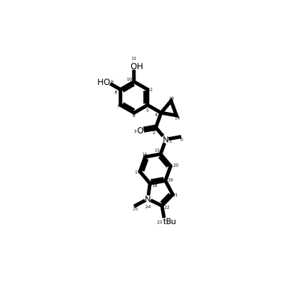 CN(C(=O)C1(c2ccc(O)c(O)c2)CC1)c1ccc2c(c1)cc(C(C)(C)C)n2C